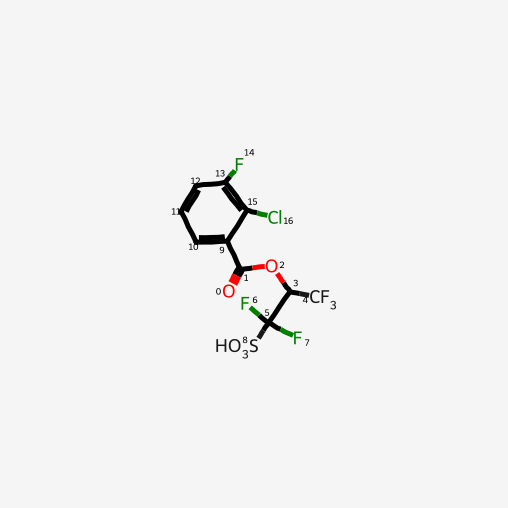 O=C(OC(C(F)(F)F)C(F)(F)S(=O)(=O)O)c1cccc(F)c1Cl